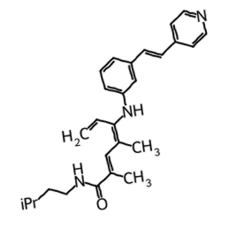 C=C/C(Nc1cccc(/C=C/c2ccncc2)c1)=C(C)\C=C(/C)C(=O)NCCC(C)C